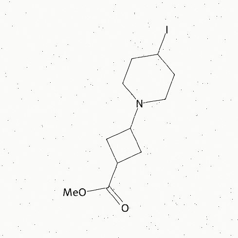 COC(=O)C1CC(N2CCC(I)CC2)C1